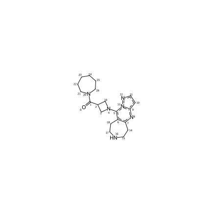 O=C(C1CN(c2c3c(nc4ccnn24)CCNCC3)C1)N1CCCCCC1